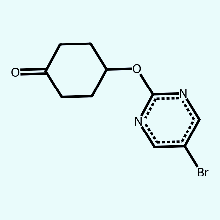 O=C1CCC(Oc2ncc(Br)cn2)CC1